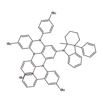 CC(C)(C)c1ccc(N2c3ccc(C(C)(C)C)cc3B3c4ccc(C(C)(C)C)cc4N(c4ccc(C(C)(C)C)cc4-c4ccccc4)c4cc(N5c6ccccc6C6(c7ccccc7)CCCCC56C)cc2c43)cc1